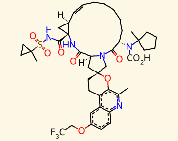 Cc1nc2ccc(OCC(F)(F)F)cc2c2c1O[C@]1(CC2)C[C@H]2C(=O)N[C@]3(C(=O)NS(=O)(=O)C4(C)CC4)C[C@H]3/C=C\CCCCC[C@H](N(C(=O)O)C3(C)CCCC3)C(=O)N2C1